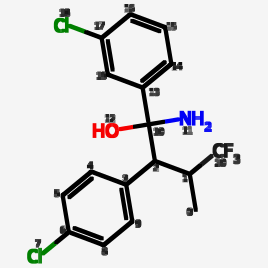 CC(C(c1ccc(Cl)cc1)C(N)(O)c1cccc(Cl)c1)C(F)(F)F